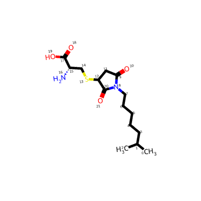 CC(C)CCCCCN1C(=O)CC(SC[C@H](N)C(=O)O)C1=O